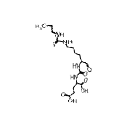 CCCNC(=S)NCCCCC(C=O)NC(=O)NC(CCC(=O)O)C(=O)O